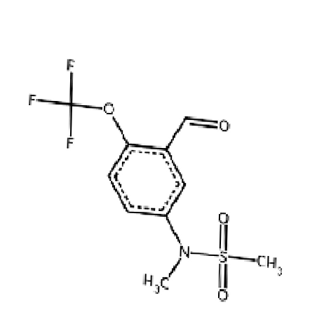 CN(c1ccc(OC(F)(F)F)c(C=O)c1)S(C)(=O)=O